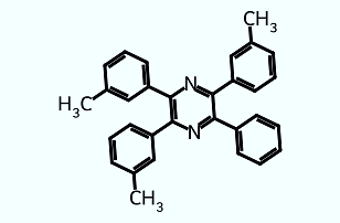 Cc1cccc(-c2nc(-c3cccc(C)c3)c(-c3cccc(C)c3)nc2-c2ccccc2)c1